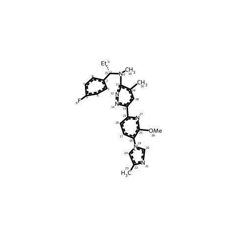 CC[C@@H](c1ccc(F)cc1)N(C)c1nnc(-c2ccc(-n3cnc(C)c3)c(OC)n2)cc1C